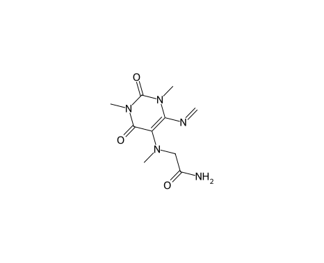 C=Nc1c(N(C)CC(N)=O)c(=O)n(C)c(=O)n1C